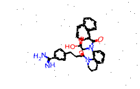 N=C(N)c1ccc(CCC(=O)N2CCCc3cccc(N(CC(=O)O)C(=O)c4cccc5ccccc45)c32)cc1